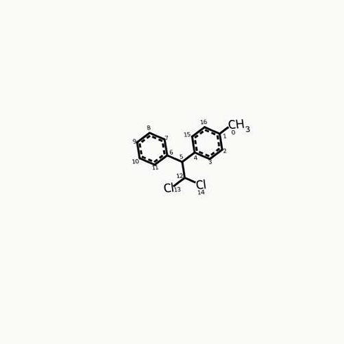 Cc1ccc(C(c2ccccc2)C(Cl)Cl)cc1